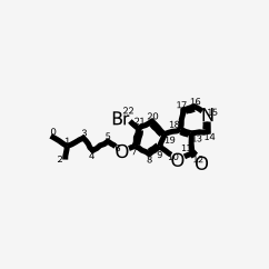 CC(C)CCCOc1cc2oc(=O)c3cnccc3c2cc1Br